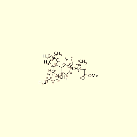 COC(=O)CC[C@@H](C)C1CCC2C3C(O[Si](C)(C)C)=C[C@@H]4C[C@H](C)CC[C@]4(C)C3CC[C@@]21C